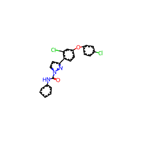 O=C(Nc1ccccc1)n1ccc(-c2ccc(Oc3ccc(Cl)cc3)cc2Cl)n1